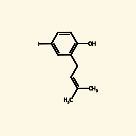 CC(C)=CCc1cc(I)ccc1O